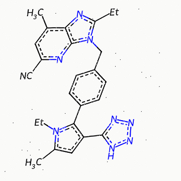 CCc1nc2c(C)cc(C#N)nc2n1Cc1ccc(-c2c(-c3nnn[nH]3)cc(C)n2CC)cc1